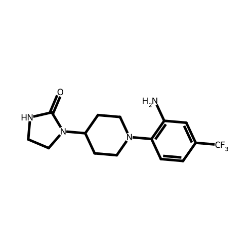 Nc1cc(C(F)(F)F)ccc1N1CCC(N2CCNC2=O)CC1